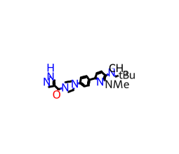 CNc1nc(-c2ccc(N3CCN(C(=O)c4cn[nH]c4)CC3)cc2)ccc1N(C)CC(C)(C)C